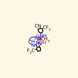 C[C@@](O)(C(=O)Nc1ccc(C#N)c(C(F)(F)F)c1)C1NCCCCCNc2c3c(C(F)(F)F)cccc3nn21